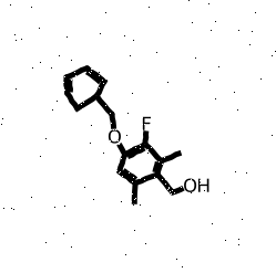 Cc1cc(OCC2C=CC=CC2)c(F)c(C)c1CO